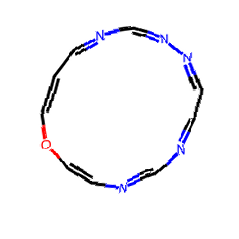 C1=COC=CN=CN=CC=NN=CN=C1